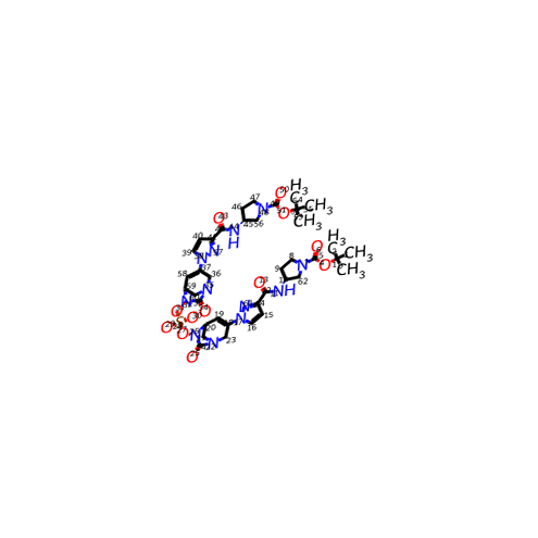 CC(C)(C)OC(=O)N1CC[C@@H](NC(=O)c2ccn(C3=CC4CN(C3)C(=O)N4OS(=O)(=O)ON3C(=O)N4CC(n5ccc(C(=O)N[C@@H]6CCN(C(=O)OC(C)(C)C)C6)n5)=CC3C4)n2)C1